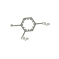 CC(C)c1ccc(C(=O)O)cc1C(=O)O